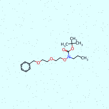 CCCN(OCCOCCOCc1ccccc1)C(=O)OC(C)(C)C